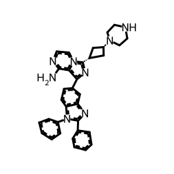 Nc1nccn2c1c(-c1ccc3c(c1)nc(-c1ccccc1)n3-c1ccccc1)nc2[C@H]1C[C@@H](N2CCNCC2)C1